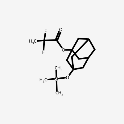 CC(F)(F)C(=O)OC12CC3CC(C1)CC(O[Si](C)(C)C)(C3)C2